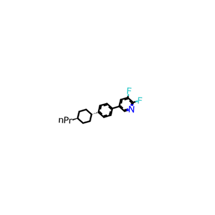 CCC[C@H]1CC[C@H](c2ccc(-c3cnc(F)c(F)c3)cc2)CC1